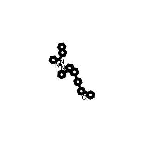 c1ccc2cc(-c3nc(-n4c5ccccc5c5c6cc(-c7ccc(-c8ccc9oc%10ccccc%10c9c8)cc7)ccc6ccc54)nc4ccccc34)ccc2c1